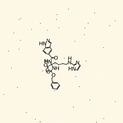 O=C(NC(CCCCNc1ncc[nH]1)(NC(=O)c1ccc2[nH]ncc2c1)C(=O)O)OCc1ccccc1